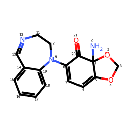 NC12OCOC1=CC=C(N1CCN=Cc3ccccc31)C2=O